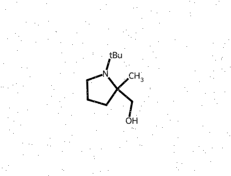 CC(C)(C)N1CCCC1(C)CO